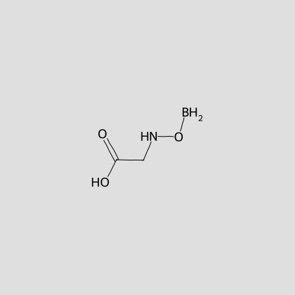 BONCC(=O)O